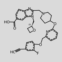 C#Cc1ccc(OCc2cccc(OC3CCN(Cc4nc5ccc(C(=O)O)cc5n4C[C@@H]4CCO4)CC3)n2)c(F)c1